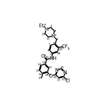 CCN1CCN(Cc2ccc(NC(=O)c3ccc(C)c(Oc4cc(Cl)ncn4)c3)cc2C(F)(F)F)CC1